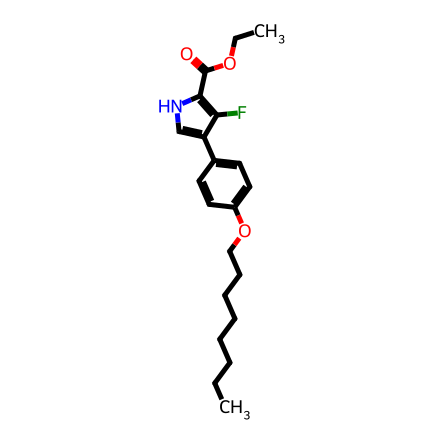 CCCCCCCCOc1ccc(-c2c[nH]c(C(=O)OCC)c2F)cc1